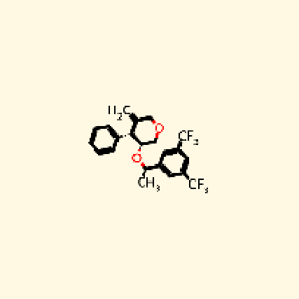 C=C1COC[C@H](O[C@H](C)c2cc(C(F)(F)F)cc(C(F)(F)F)c2)[C@@H]1c1ccccc1